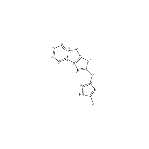 Cc1nc(Cc2nc3c(s2)Cc2ccccc2-3)c[nH]1